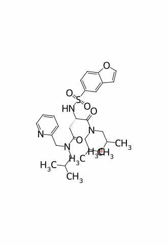 CC(C)CN(Cc1ccccn1)C(=O)C[C@H](NS(=O)(=O)c1ccc2occc2c1)C(=O)N(CC(C)C)CC(C)C